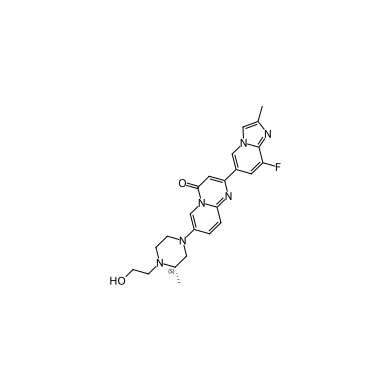 Cc1cn2cc(-c3cc(=O)n4cc(N5CCN(CCO)[C@@H](C)C5)ccc4n3)cc(F)c2n1